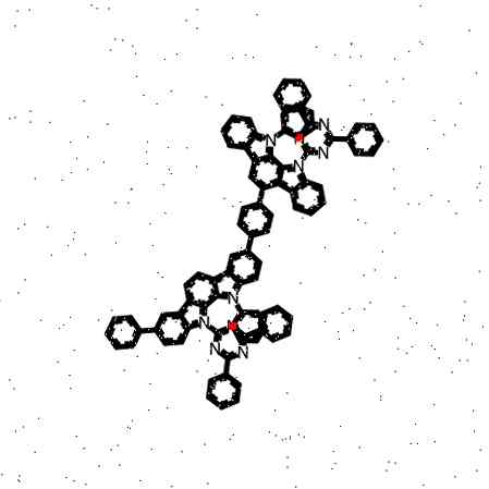 c1ccc(-c2ccc3c(c2)c2ccc4c5cc(-c6ccc(-c7cc8c9ccccc9n(-c9ccccc9)c8c8c7c7ccccc7n8-c7nc(-c8ccccc8)nc(-c8ccccc8)n7)cc6)ccc5n(-c5ccccc5)c4c2n3-c2nc(-c3ccccc3)nc(-c3ccccc3)n2)cc1